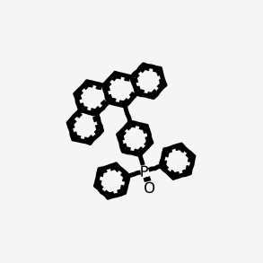 O=P(c1ccccc1)(c1ccccc1)c1ccc(-c2c3ccccc3cc3ccc4ccccc4c23)cc1